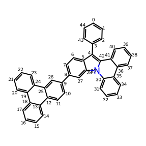 c1ccc(-c2c3ccc(-c4ccc5c6ccccc6c6ccccc6c5c4)cc3n3c4ccccc4c4ccccc4c23)cc1